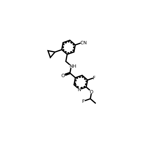 CC(F)Oc1ncc(C(=O)NCc2cc(C#N)ccc2C2CC2)cc1F